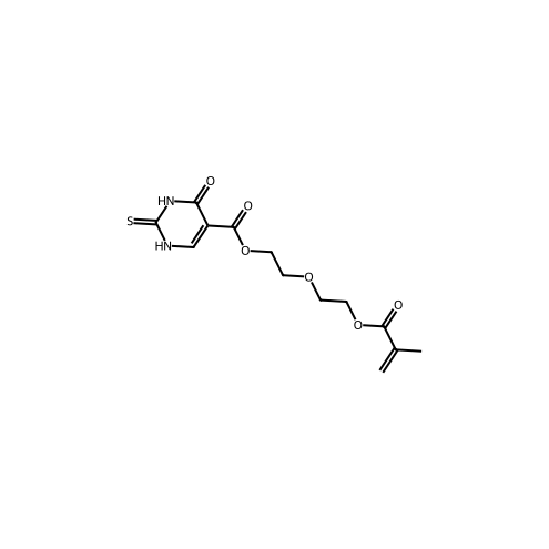 C=C(C)C(=O)OCCOCCOC(=O)c1c[nH]c(=S)[nH]c1=O